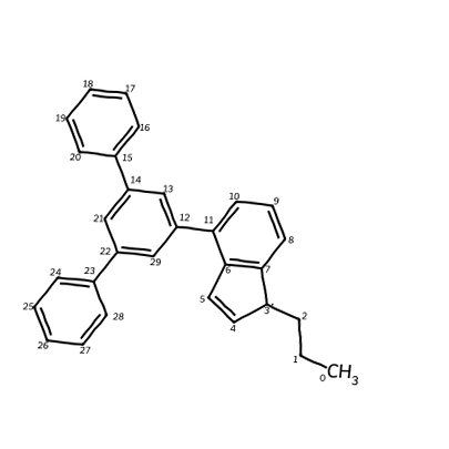 CCC[C]1C=Cc2c1cccc2-c1cc(-c2ccccc2)cc(-c2ccccc2)c1